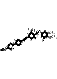 CCCCc1ccc(-c2ccc(C#Cc3cc(F)c(C(F)(F)Oc4cc(F)c(OC(F)(F)F)c(P)c4)c(P)c3)cc2)nc1